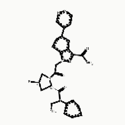 NCN(C(=O)[C@@H]1C[C@@H](F)CN1C(=O)Cn1nc(C(N)=O)c2cc(-c3ccnnc3)ccc21)c1ccccc1